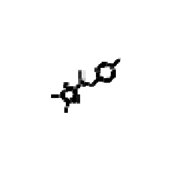 Cc1ccc(CNc2nc(C)c(C)s2)cc1